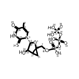 Cc1cn([C@@H]2OC3(COP(=O)(O)OP(=O)(O)OP(=O)(O)O)CC3C2O)c(=S)[nH]c1=O